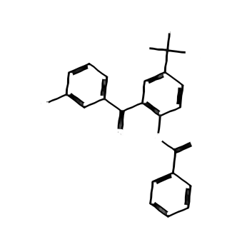 CC(C)(C)c1ccc(OC(=O)c2ccccc2)c(C(=N)c2cccc(Cl)c2)c1